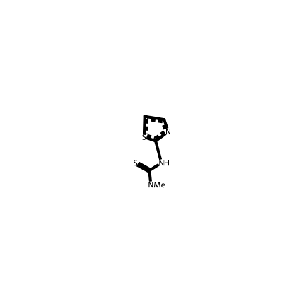 CNC(=S)Nc1nccs1